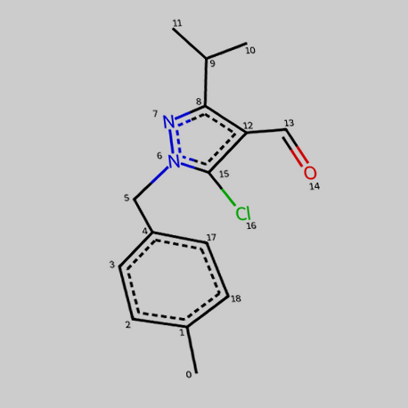 Cc1ccc(Cn2nc(C(C)C)c(C=O)c2Cl)cc1